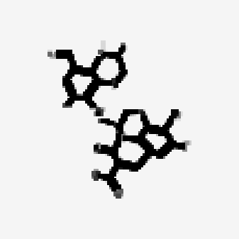 C[C@H]1CSc2c(Br)c(F)cc(C=O)c2N1.C[C@H]1CSc2c(Br)c(F)cc3cc(C(=O)O)c(=O)n1c23